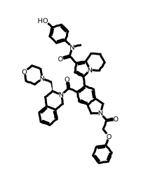 CN(C(=O)c1cc(-c2cc3c(cc2C(=O)N2Cc4ccccc4C[C@H]2CN2CCOCC2)CN(C(=O)COc2ccccc2)C3)n2c1CCCC2)c1ccc(O)cc1